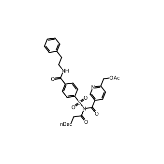 CCCCCCCCCCCC(=O)N(C(=O)c1ccc(COC(C)=O)nc1)S(=O)(=O)c1ccc(C(=O)NCCc2ccccc2)cc1